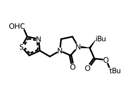 CC[C@H](C)[C@@H](C(=O)OC(C)(C)C)N1CCN(Cc2csc(C=O)n2)C1=O